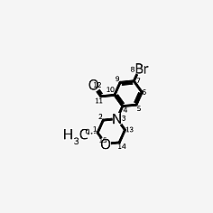 C[C@@H]1CN(c2ccc(Br)cc2C=O)CCO1